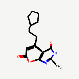 Cc1nc2oc(=O)cc(CCC3CCCC3)c2c(=O)[nH]1